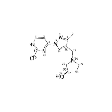 Cc1nn(-c2ccnc(Cl)n2)cc1CN1CC[C@@H](O)C1